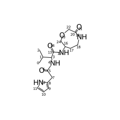 CC(C)C(NC(=O)Cc1ccc[nH]1)C(=O)NC1CCNC(=O)COC1